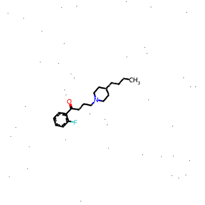 CCCCC1CCN(CCCC(=O)c2ccccc2F)CC1